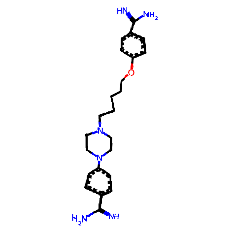 N=C(N)c1ccc(OCCCCCN2CCN(c3ccc(C(=N)N)cc3)CC2)cc1